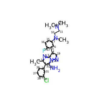 Cc1nc2c(-c3cc(N(C)CCN(C)C)ccc3F)cnn2c(N)c1-c1cccc(Cl)c1